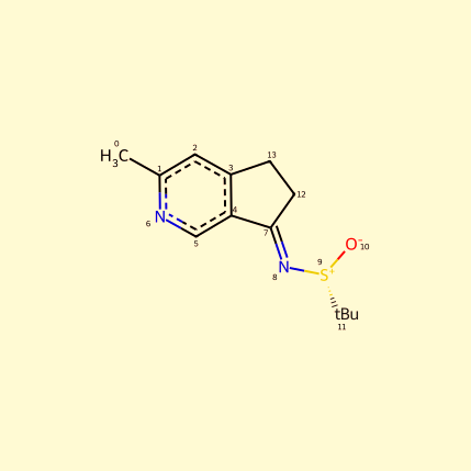 Cc1cc2c(cn1)/C(=N/[S@+]([O-])C(C)(C)C)CC2